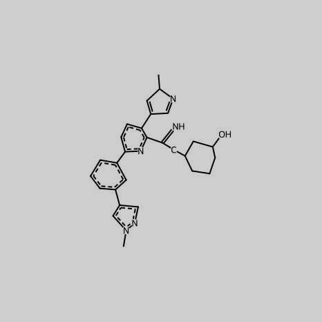 CC1C=C(c2ccc(-c3cccc(-c4cnn(C)c4)c3)nc2C(=N)CC2CCCC(O)C2)C=N1